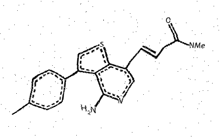 CNC(=O)C=Cc1cnc(N)c2c(-c3ccc(C)cc3)csc12